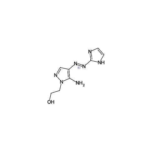 Nc1c(/N=N/c2ncc[nH]2)cnn1CCO